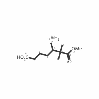 COC(=O)C(C)(C)C(C)CCCC(=O)O.[BiH3]